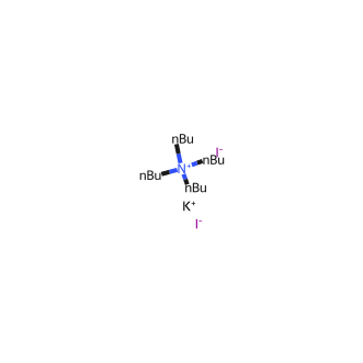 CCCC[N+](CCCC)(CCCC)CCCC.[I-].[I-].[K+]